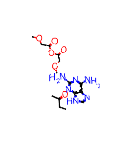 CCC(C)=O.COCC(=O)OC(=O)COC.Nc1nc(N)c2nc[nH]c2n1